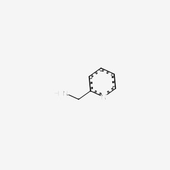 N[CH]c1ccccn1